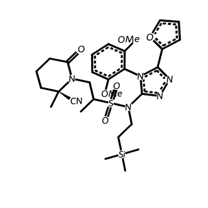 COc1cccc(OC)c1-n1c(-c2ccco2)nnc1N(CC[Si](C)(C)C)S(=O)(=O)C(C)CN1C(=O)CCC[C@]1(C)C#N